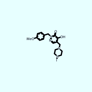 COc1ccc(Cn2ncc(CN3CCN(I)CC3)c(O)c2=O)cc1